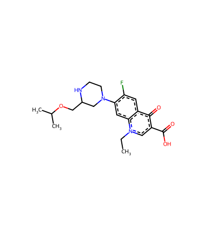 CCn1cc(C(=O)O)c(=O)c2cc(F)c(N3CCNC(COC(C)C)C3)cc21